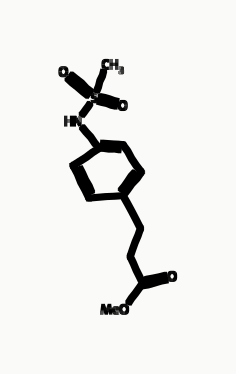 COC(=O)CCc1ccc(NS(C)(=O)=O)cc1